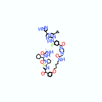 CN[C@@H](C)C(=O)N[C@H](C(=O)N1CCC[C@H]1c1nc(C(=O)c2cccc(OCCCCCNC(=O)CN3CCN(C(=O)c4ccc(Nc5nc(C6CC6)cn6c(-c7cn[nH]c7)cnc56)c(F)c4)CC3)c2)cs1)C1CCCCC1